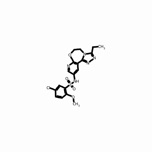 CCc1nnc2n1CCOc1ncc(NS(=O)(=O)c3cc(Cl)ccc3OC)cc1-2